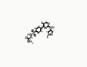 Cc1cnc(Nc2cnn(C)c2)nc1-c1ccc(S(=O)(=O)NCC(N)=O)cc1